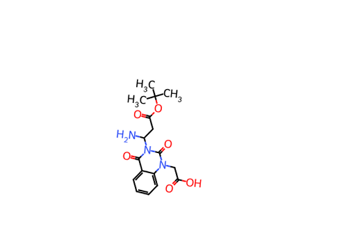 CC(C)(C)OC(=O)CC(N)n1c(=O)c2ccccc2n(CC(=O)O)c1=O